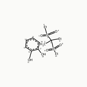 CCC(C)(S(=O)(=O)CC)S(=O)(=O)CC.Oc1ccccc1O